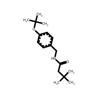 CC(C)(C)CC(=O)NCc1ccc(OC(C)(C)C)cc1